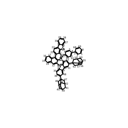 c1ccc(-c2ccc(N3B4c5c(cc6ccccc6c5-c5ccc6c(sc7ccccc76)c53)-n3c5ccc(C67CC8CC(CC(C8)C6)C7)cc5c5cc(C67CC8CC(CC(C8)C6)C7)cc4c53)cc2)cc1